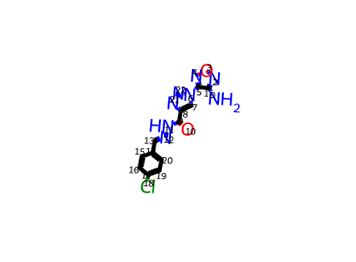 Nc1nonc1-n1cc(C(=O)N/N=C/c2ccc(Cl)cc2)nn1